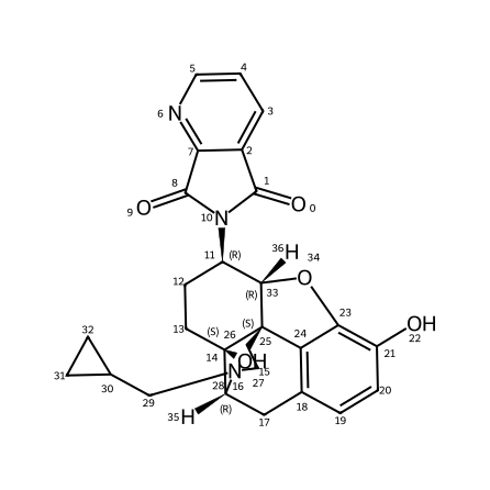 O=C1c2cccnc2C(=O)N1[C@@H]1CC[C@@]2(O)[C@H]3Cc4ccc(O)c5c4[C@@]2(CCN3CC2CC2)[C@H]1O5